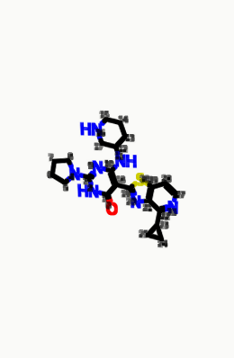 O=c1[nH]c(N2CCCC2)nc(NC2CCCNC2)c1-c1nc2c(C3CC3)nccc2s1